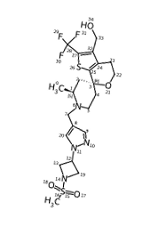 C[C@H]1C[C@@]2(CCN1Cc1cnn(C3CN(S(C)(=O)=O)C3)c1)OCCc1c2sc(C(F)(F)F)c1CO